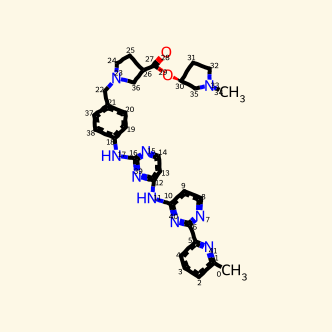 Cc1cccc(-c2nccc(Nc3ccnc(Nc4ccc(CN5CCC(C(=O)O[C@H]6CCN(C)C6)C5)cc4)n3)n2)n1